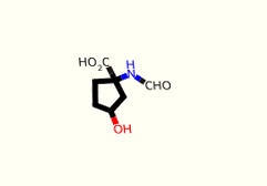 O=CNC1(C(=O)O)CCC(O)C1